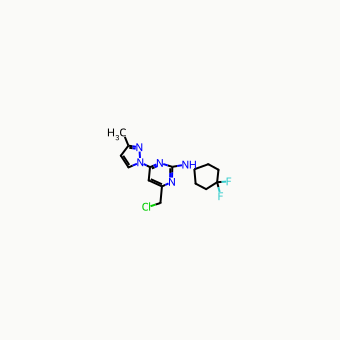 Cc1ccn(-c2cc(CCl)nc(NC3CCC(F)(F)CC3)n2)n1